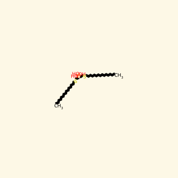 CCCCCCCCCCCCCCCCSCCP(O)(O)(O)CCSCCCCCCCCCCCCCCCC